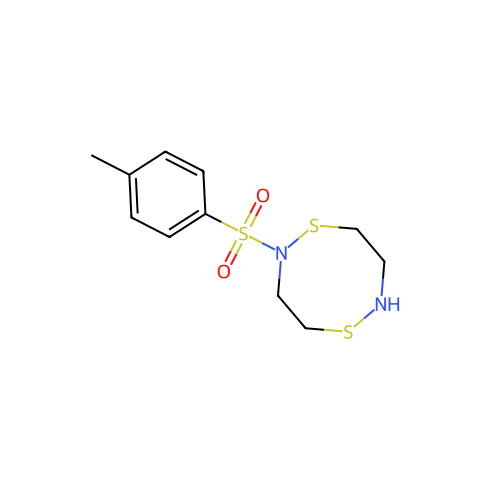 Cc1ccc(S(=O)(=O)N2CCSNCCS2)cc1